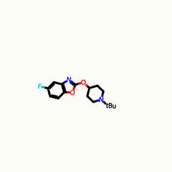 CC(C)(C)N1CCC(Oc2nc3cc(F)ccc3o2)CC1